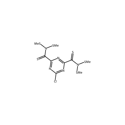 CSN(SC)C(=S)c1nc(Cl)nc(C(=S)N(SC)SC)n1